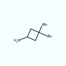 CC(C)(C)C1(C(C)(C)C)CC(N)C1